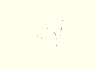 CCCCCCCc1ccc(C#Cc2cccc(I)c2C#Cc2ccc(CCCC)c(F)c2)cc1F.CCCCCCc1ccc(C#Cc2ccc(C#Cc3ccc(CCCC)c(F)c3)cc2)cc1F